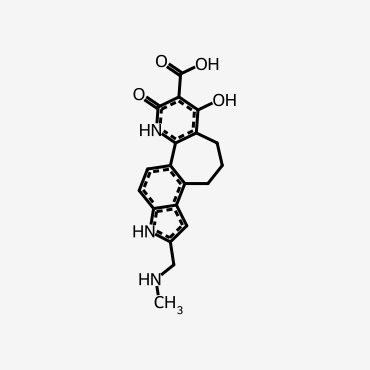 CNCc1cc2c3c(ccc2[nH]1)-c1[nH]c(=O)c(C(=O)O)c(O)c1CCC3